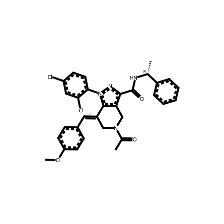 COc1ccc(/C=C2\CN(C(C)=O)Cc3c(C(=O)N[C@H](C)c4ccccc4)nn(-c4ccc(Cl)cc4Cl)c32)cc1